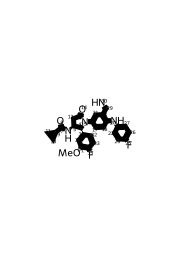 COc1cc([C@@H]2[C@@H](NC(=O)C3CC3)CC(=O)N2c2ccc(Nc3ccc(F)cc3)c(C=N)c2)ccc1F